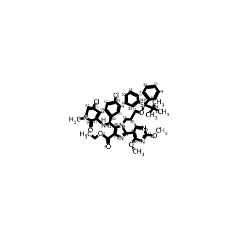 CCOC(=O)c1nc(-c2cnc(OC)nc2OC)n(CCCO[Si](c2ccccc2)(c2ccccc2)C(C)(C)C)c1C(Nc1cc(Cl)cn(C)c1=O)c1ccc(Cl)cc1